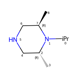 CC(C)N1[C@H](C)CNC[C@H]1C